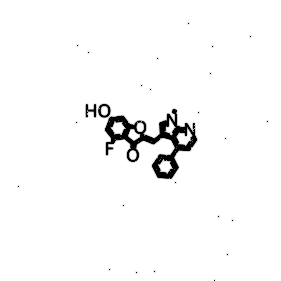 Cn1cc(C=C2Oc3cc(O)cc(F)c3C2=O)c2c(-c3ccccc3)ccnc21